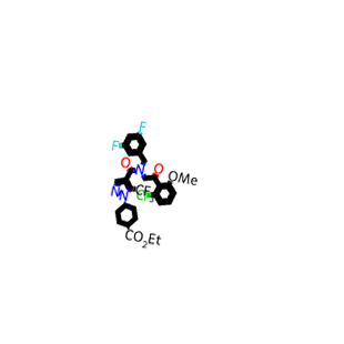 CCOC(=O)[C@H]1CC[C@H](n2ncc(C(=O)N(CC(=O)c3c(Cl)cccc3OC)Cc3cc(F)cc(F)c3)c2C(F)(F)F)CC1